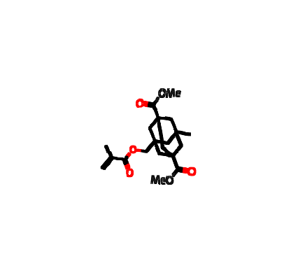 C=C(C)C(=O)OCC12CC3(C)CC(C(=O)OC)(C1)CC(C(=O)OC)(C3)C2